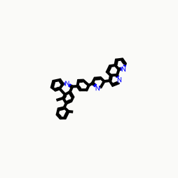 Cc1ccccc1-c1ccc2c(C3=CCC(C4=NCC(c5ccnc6c5ccc5cccnc56)C=C4)C=C3)nc3ccccc3c2c1C